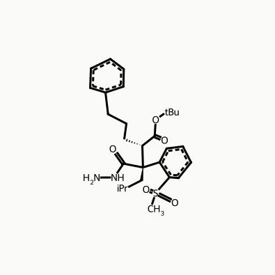 CC(C)C[C@](C(=O)NN)(c1ccccc1S(C)(=O)=O)[C@H](CCCc1ccccc1)C(=O)OC(C)(C)C